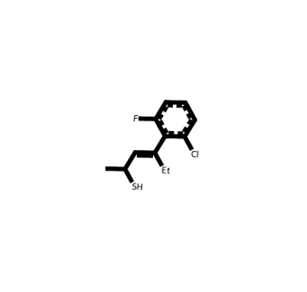 CC/C(=C\C(C)S)c1c(F)cccc1Cl